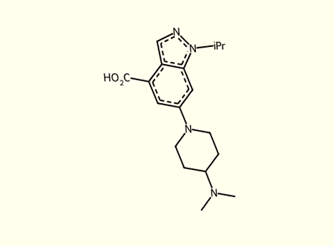 CC(C)n1ncc2c(C(=O)O)cc(N3CCC(N(C)C)CC3)cc21